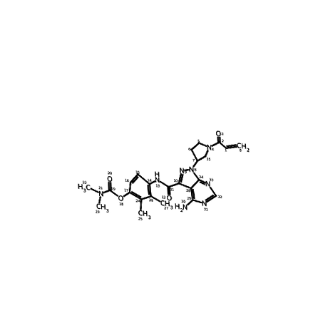 C=CC(=O)N1CCC(n2nc(C(=O)Nc3ccc(OC(=O)N(C)C)c(C)c3C)c3c(N)ncnc32)C1